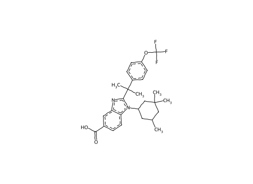 CC1CC(n2c(C(C)(C)c3ccc(OC(F)(F)F)cc3)nc3cc(C(=O)O)ccc32)CC(C)(C)C1